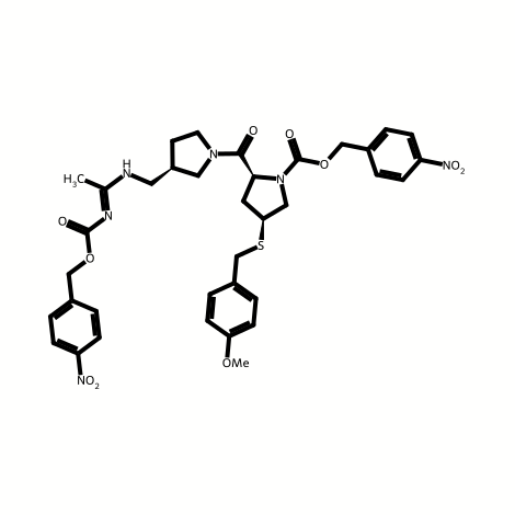 COc1ccc(CS[C@H]2C[C@@H](C(=O)N3CC[C@H](CNC(C)=NC(=O)OCc4ccc([N+](=O)[O-])cc4)C3)N(C(=O)OCc3ccc([N+](=O)[O-])cc3)C2)cc1